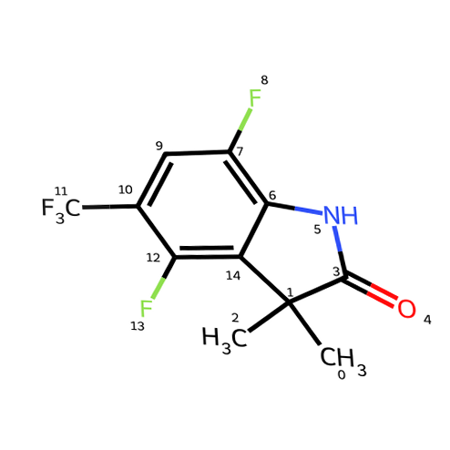 CC1(C)C(=O)Nc2c(F)cc(C(F)(F)F)c(F)c21